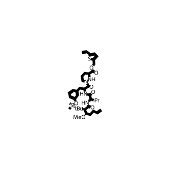 C=CCC[C@@H](OC)[C@@H](C)C(=O)NC(C(=O)NC(Cc1cccc(O[Si](C)(C)C(C)(C)C)c1)C(=O)N1CCCC(C(=O)OCc2ccc(C=C)s2)N1)C(C)C